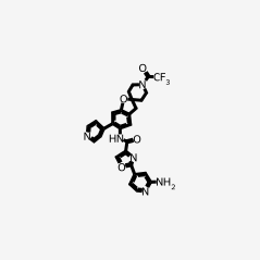 Nc1cc(-c2nc(C(=O)Nc3cc4c(cc3-c3ccncc3)OC3(CCN(C(=O)C(F)(F)F)CC3)C4)co2)ccn1